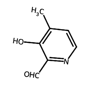 Cc1ccnc(C=O)c1O